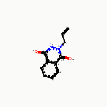 C=CCn1[nH]c(=O)c2ccccc2c1=O